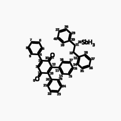 O=C1C=C(c2ccccc2)C(=O)C(c2ccccc2)=C1c1ccccc1.[SbH3].c1ccc(CCc2ccccc2)cc1